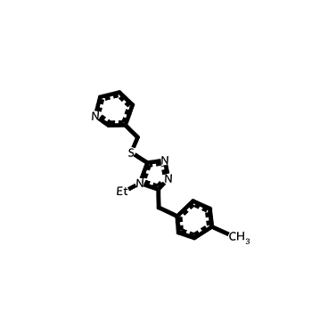 CCn1c(Cc2ccc(C)cc2)nnc1SCc1cccnc1